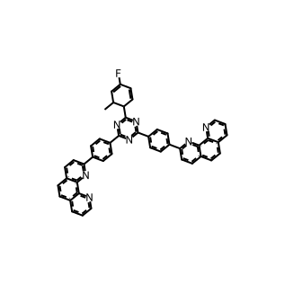 CC1C=C(F)C=CC1c1nc(-c2ccc(-c3ccc4ccc5cccnc5c4n3)cc2)nc(-c2ccc(-c3ccc4ccc5cccnc5c4n3)cc2)n1